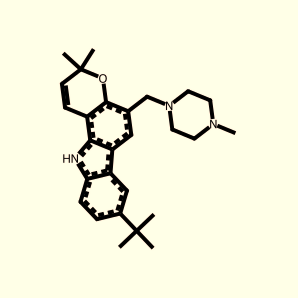 CN1CCN(Cc2cc3c([nH]c4ccc(C(C)(C)C)cc43)c3c2OC(C)(C)C=C3)CC1